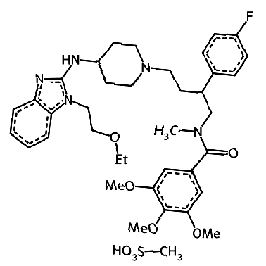 CCOCCn1c(NC2CCN(CCC(CN(C)C(=O)c3cc(OC)c(OC)c(OC)c3)c3ccc(F)cc3)CC2)nc2ccccc21.CS(=O)(=O)O